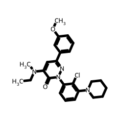 CCN(C)c1cc(-c2cccc(OC)c2)nn(-c2cccc(N3CCCCC3)c2Cl)c1=O